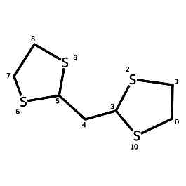 C1CSC(CC2SCCS2)S1